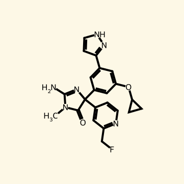 CN1C(=O)C(c2cc(OC3CC3)cc(-c3cc[nH]n3)c2)(c2ccnc(CF)c2)N=C1N